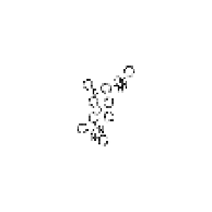 c1ccc(-c2nnc(-c3ccc(N(c4ccccc4)c4ccc5c(c4)C(c4ccccc4)(c4ccccc4)c4cc(-c6nc7ccccc7nc6-c6ccccc6)ccc4-5)cc3)o2)cc1